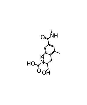 CNC(=O)c1cc(C)c(C[C@@H](CO)NC(=O)O)c(C)c1